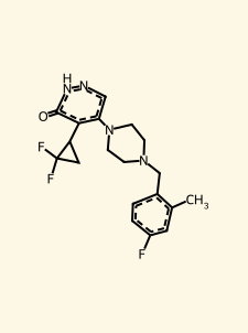 Cc1cc(F)ccc1CN1CCN(c2cn[nH]c(=O)c2C2CC2(F)F)CC1